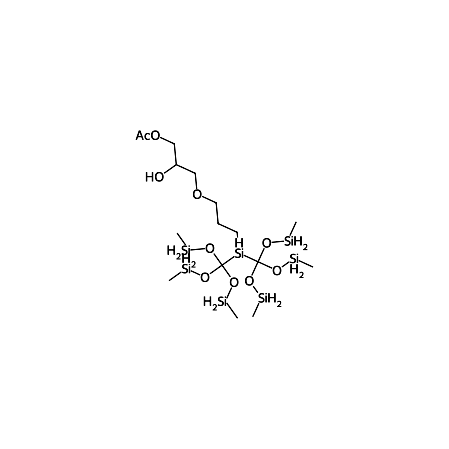 C[SiH2]OC(O[SiH2]C)(O[SiH2]C)[SiH](CCCOCC(O)COC(C)=O)C(O[SiH2]C)(O[SiH2]C)O[SiH2]C